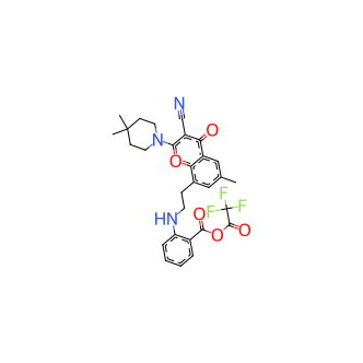 Cc1cc(CCNc2ccccc2C(=O)OC(=O)C(F)(F)F)c2oc(N3CCC(C)(C)CC3)c(C#N)c(=O)c2c1